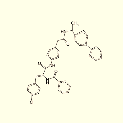 CC(NC(=O)Cc1ccc(NC(=O)/C(=C/c2ccc(Cl)cc2)NC(=O)c2ccccc2)cc1)c1ccc(-c2ccccc2)cc1